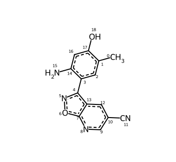 Cc1cc(-c2noc3ncc(C#N)cc23)c(N)cc1O